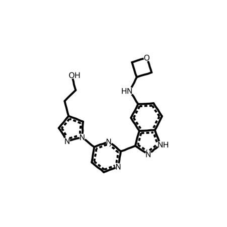 OCCc1cnn(-c2ccnc(-c3n[nH]c4ccc(NC5COC5)cc34)n2)c1